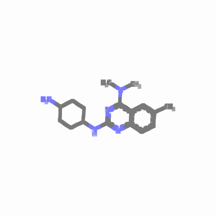 Cc1ccc2nc(NC3CCC(N)CC3)nc(N(C)C)c2c1